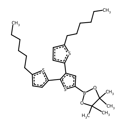 CCCCCCc1ccc(-c2cc(B3OC(C)(C)C(C)(C)O3)sc2-c2ccc(CCCCCC)s2)s1